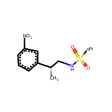 CCCS(=O)(=O)NC[C@H](C)c1cccc([N+](=O)[O-])c1